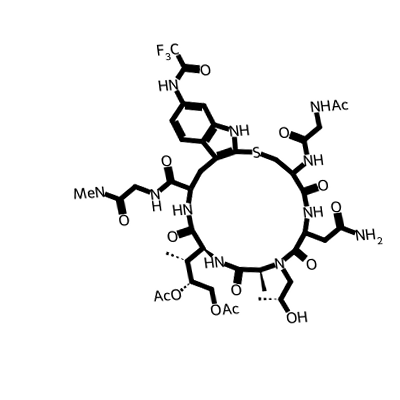 CNC(=O)CNC(=O)C1Cc2c([nH]c3cc(NC(=O)C(F)(F)F)ccc23)SCC(NC(=O)CNC(C)=O)C(=O)NC(CC(N)=O)C(=O)N(C[C@@H](C)O)[C@@H](C)C(=O)N[C@@H]([C@@H](C)[C@H](COC(C)=O)OC(C)=O)C(=O)N1